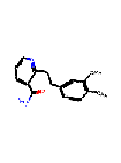 COc1ccc(CCc2ncccc2C(N)=O)cc1OC